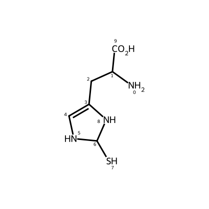 NC(CC1=CNC(S)N1)C(=O)O